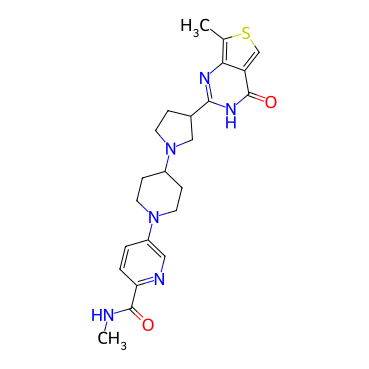 CNC(=O)c1ccc(N2CCC(N3CCC(c4nc5c(C)scc5c(=O)[nH]4)C3)CC2)cn1